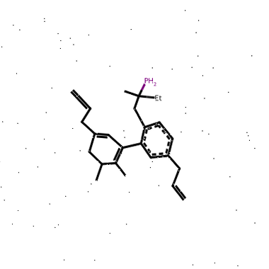 C=CCC1=CC(c2cc(CC=C)ccc2CC(C)(P)CC)=C(C)C(C)C1